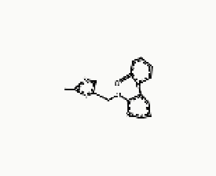 Cc1nc(COc2ncccc2-n2ccccc2=O)cs1